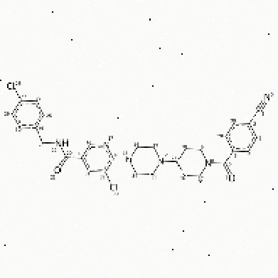 N#Cc1ccc(C(=O)N2CCC(N3CCN(c4ncc(C(=O)NCc5ccc(Cl)cc5)cc4Cl)CC3)CC2)cc1